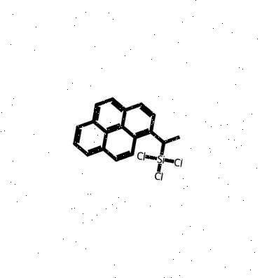 CC(c1ccc2ccc3cccc4ccc1c2c34)[Si](Cl)(Cl)Cl